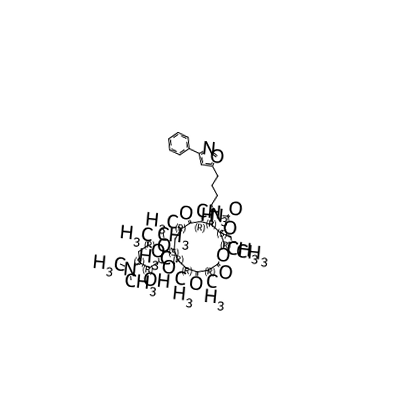 CC[C@H]1OC(=O)[C@H](C)C(=O)[C@H](C)[C@@H](OC2O[C@H](C)C[C@H](N(C)C)[C@H]2O)[C@@](C)(OC)C[C@@H](C)C(=O)[C@H](C)[C@H]2N(CCCCc3cc(-c4ccccc4)no3)C(=O)O[C@]12CC